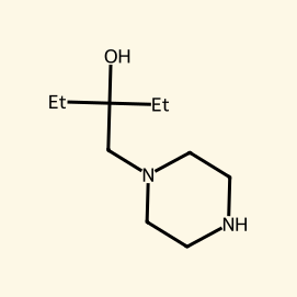 CCC(O)(CC)CN1CCNCC1